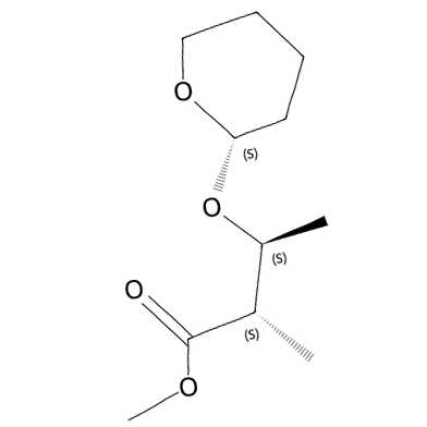 COC(=O)[C@@H](C)[C@H](C)O[C@H]1CCCCO1